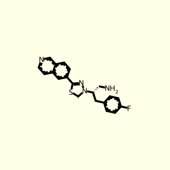 NC[C@H](Cc1ccc(F)cc1)N1[CH]SC(c2ccc3cnccc3c2)=N1